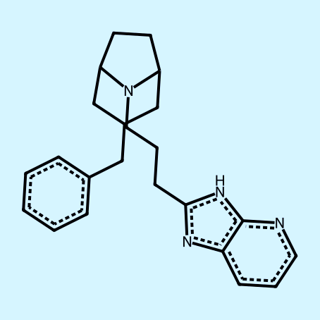 c1ccc(CC2CC3CCC(C2)N3CCCc2nc3cccnc3[nH]2)cc1